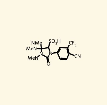 CNN1C(=O)N(c2ccc(C#N)c(C(F)(F)F)c2)C(S(=O)(=O)O)C1(NC)NC